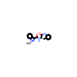 CCCCn1nc(C(=O)N[C@@H](Cc2ccccc2)C(N)=O)c2ccccc21